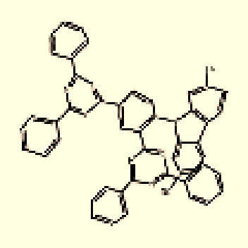 N#Cc1ccc2c3ccc(C#N)cc3n(-c3ccc(-c4nc(-c5ccccc5)nc(-c5ccccc5)n4)cc3-c3nc(-c4ccccc4)nc(-c4ccccc4)n3)c2c1